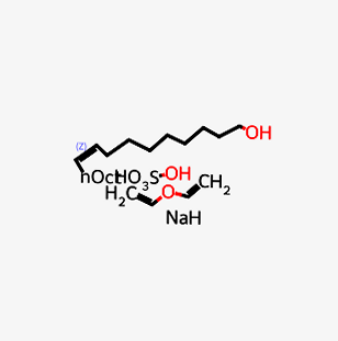 C=COC=C.CCCCCCCC/C=C\CCCCCCCCO.O=S(=O)(O)O.[NaH]